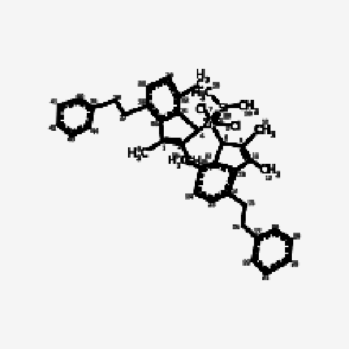 CC1=C(C)[CH]([Zr]([Cl])([Cl])([CH]2C(C)=C(C)c3c(CCc4ccccc4)ccc(C)c32)=[Si](C)C)c2c(C)ccc(CCc3ccccc3)c21